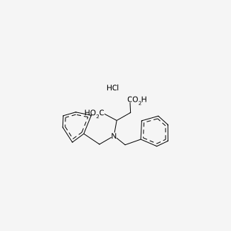 Cl.O=C(O)CC(C(=O)O)N(Cc1ccccc1)Cc1ccccc1